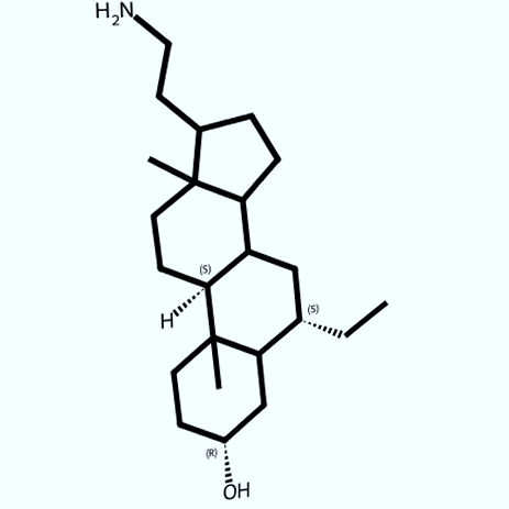 CC[C@H]1CC2C3CCC(CCN)C3(C)CC[C@@H]2C2(C)CC[C@@H](O)CC12